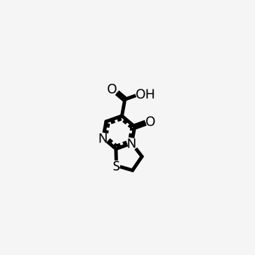 O=C(O)c1cnc2n(c1=O)CCS2